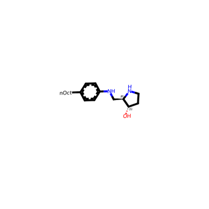 CCCCCCCCc1ccc(NC[C@H]2NCC[C@@H]2O)cc1